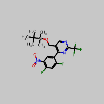 CC(C)(C)[Si](C)(C)OCc1cnc(C(F)(F)F)nc1-c1cc([N+](=O)[O-])c(F)cc1F